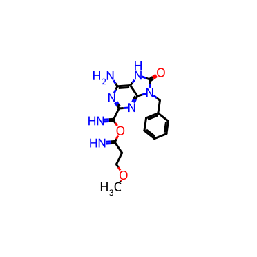 COCCC(=N)OC(=N)c1nc(N)c2[nH]c(=O)n(Cc3ccccc3)c2n1